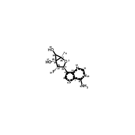 C[C@]12O[C@@H](c3csc4c(N)ncnc34)[C@H](F)[C@@]1(O)C2O